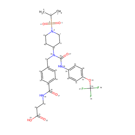 CC(C)S(=O)(=O)N1CCC(N(Cc2ccc(C(=O)NCCC(=O)O)cc2)C(=O)Nc2ccc(OC(F)(F)F)cc2)CC1